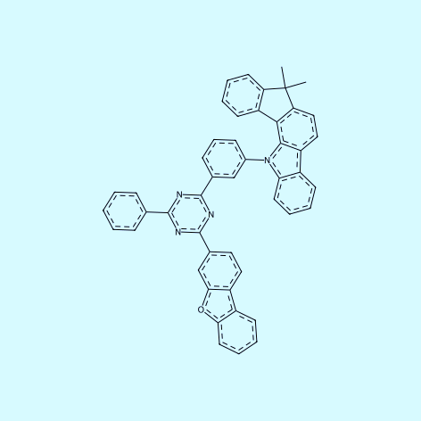 CC1(C)c2ccccc2-c2c1ccc1c3ccccc3n(-c3cccc(-c4nc(-c5ccccc5)nc(-c5ccc6c(c5)oc5ccccc56)n4)c3)c21